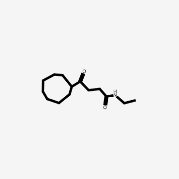 CCNC(=O)CCC(=O)C1CCCCCCC1